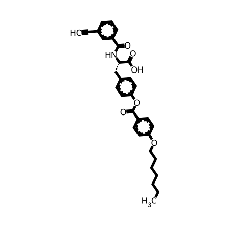 C#Cc1cccc(C(=O)N[C@@H](Cc2ccc(OC(=O)c3ccc(OCCCCCCC)cc3)cc2)C(=O)O)c1